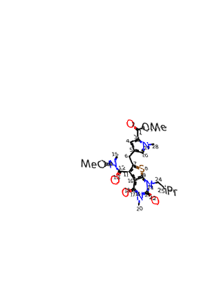 COC(=O)c1cc(Cc2sc3c(c2C(=O)N(C)OC)c(=O)n(C)c(=O)n3CC(C)C)cn1C